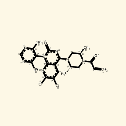 C=CC(=O)N1C[C@H](C)N(c2nc(=O)n(-c3c(N)ncnc3C(C)C)c3nc(Cl)c(Cl)cc23)C[C@H]1C